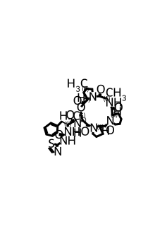 C[C@@H]1C[C@H]2C(=O)O[C@@H](C)[C@H](NC(=O)[C@H](Cc3ccccc3)NC(=O)Nc3nccs3)C(=O)N3CCC[C@H]3C(=O)N3CCCC[C@H]3C(=O)N[C@@H](C)C(=O)N2C1